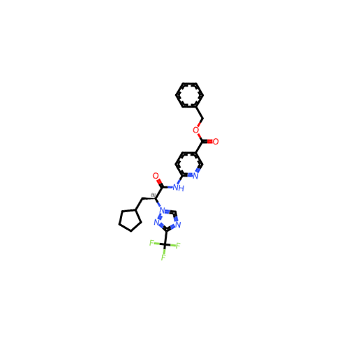 O=C(OCc1ccccc1)c1ccc(NC(=O)[C@H](CC2CCCC2)n2cnc(C(F)(F)F)n2)nc1